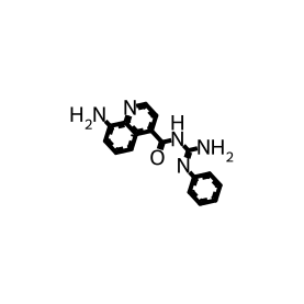 NC(=Nc1ccccc1)NC(=O)c1ccnc2c(N)cccc12